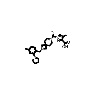 Cc1ccc(CN2CC3(CCN(C(=O)n4cc(C)c(C(=O)O)n4)CC3)C2)c(N2CCCC2)c1